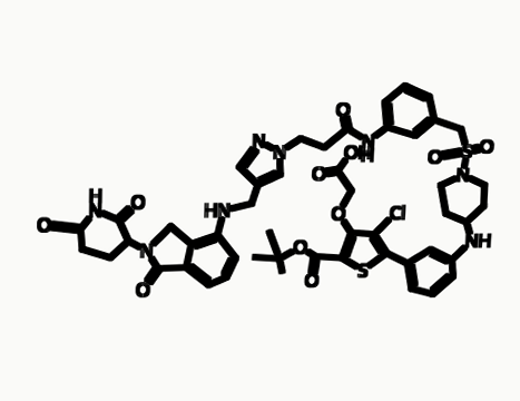 CC(C)(C)OC(=O)c1sc(-c2cccc(NC3CCN(S(=O)(=O)Cc4cccc(NC(=O)CCn5cc(CNc6cccc7c6CN(C6CCC(=O)NC6=O)C7=O)cn5)c4)CC3)c2)c(Cl)c1OCC(=O)O